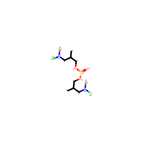 CC(CO[PH](=O)OCC(C)CN(Cl)Br)CN(Cl)Br